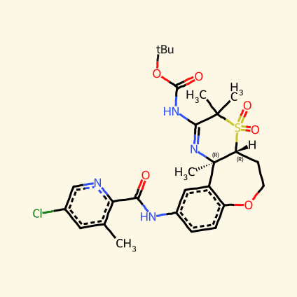 Cc1cc(Cl)cnc1C(=O)Nc1ccc2c(c1)[C@@]1(C)N=C(NC(=O)OC(C)(C)C)C(C)(C)S(=O)(=O)[C@@H]1CCO2